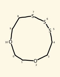 C1COCCSSSCCO1